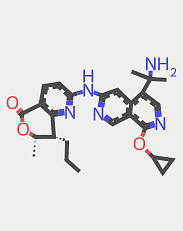 CCC[C@H]1c2nc(Nc3cc4c(C(C)(C)N)cnc(OC5CC5)c4cn3)ccc2C(=O)O[C@H]1C